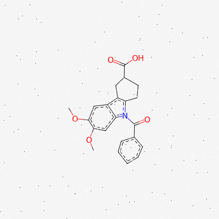 COc1cc2c3c(n(C(=O)c4ccccc4)c2cc1OC)CCC(C(=O)O)C3